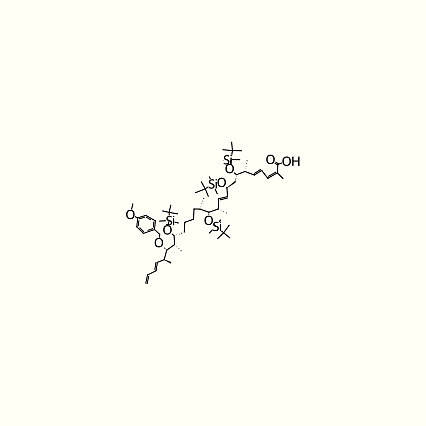 C=CC=C[C@H](C)[C@H](OCc1ccc(OC)cc1)[C@@H](C)[C@@H](CCCC[C@H](C)[C@@H](O[Si](C)(C)C(C)(C)C)[C@@H](C)C=C[C@H](C[C@H](O[Si](C)(C)C(C)(C)C)[C@H](C)C=CC=C(C)C(=O)O)O[Si](C)(C)C(C)(C)C)O[Si](C)(C)C(C)(C)C